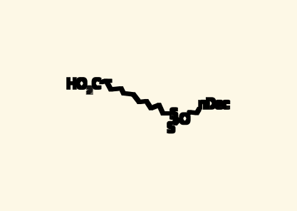 CCCCCCCCCCCCOC(=S)SCCCCCCCCC[CH]C(=O)O